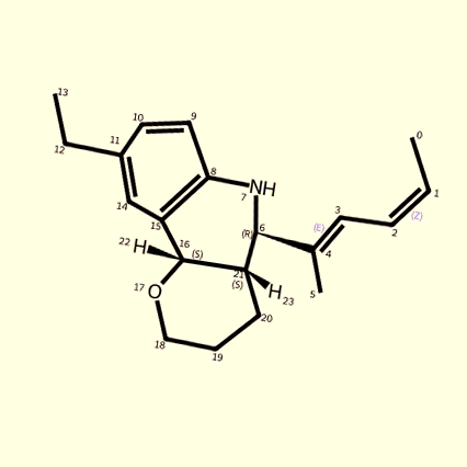 C/C=C\C=C(/C)[C@@H]1Nc2ccc(CC)cc2[C@H]2OCCC[C@H]21